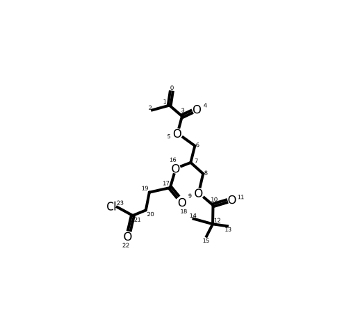 C=C(C)C(=O)OCC(COC(=O)C(C)(C)C)OC(=O)CCC(=O)Cl